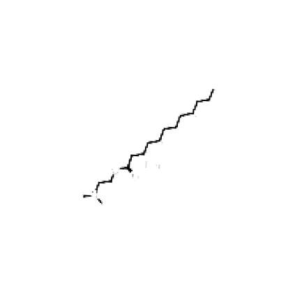 Br.CCCCCCCCCCCC(=O)OCCN(C)C